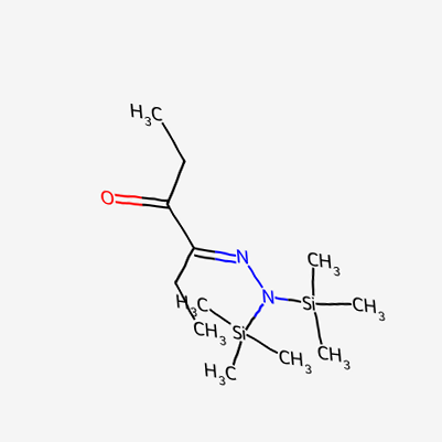 CCC(=O)C(CC)=NN([Si](C)(C)C)[Si](C)(C)C